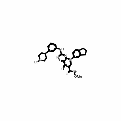 CCN1CCC(c2cccc(Nc3ncc4c(=O)c(C(=O)NOC)cn(-c5ccc6c(c5)CCC6)c4n3)c2)CC1